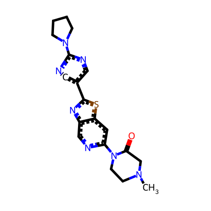 CN1CCN(c2cc3sc(-c4cnc(N5CCCC5)nc4)nc3cn2)C(=O)C1